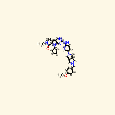 COc1ccc(CN2Cc3cn(-c4ccc(Nc5ncc6cc(C(=O)N(C)C)n(C7CCCC7)c6n5)nc4)cc3C2)cc1